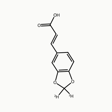 [2H]C1([2H])Oc2ccc(C=CC(=O)O)cc2O1